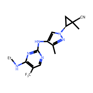 CCNc1nc(Nc2cn([C@H]3CC3(C)C#N)nc2C)ncc1C(F)(F)F